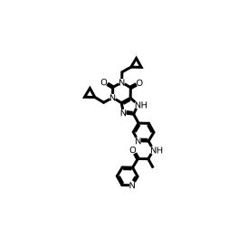 CC(Nc1ccc(-c2nc3c([nH]2)c(=O)n(CC2CC2)c(=O)n3CC2CC2)cn1)C(=O)c1cccnc1